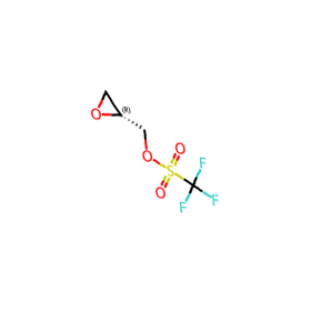 O=S(=O)(OC[C@H]1CO1)C(F)(F)F